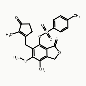 COc1c(C)c2c(c(OS(=O)(=O)c3ccc(C)cc3)c1CC1=C(C)C(=O)CC1)C(=O)OC2